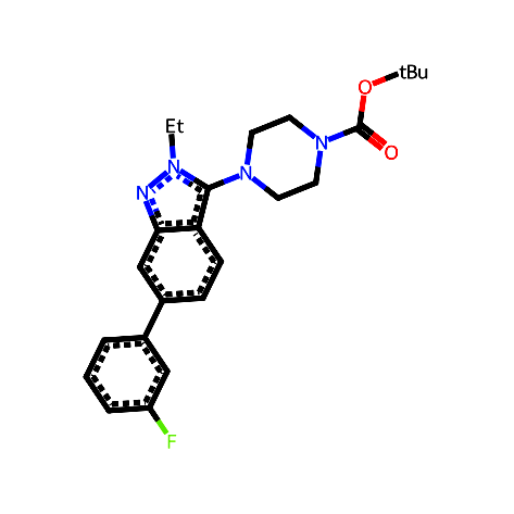 CCn1nc2cc(-c3cccc(F)c3)ccc2c1N1CCN(C(=O)OC(C)(C)C)CC1